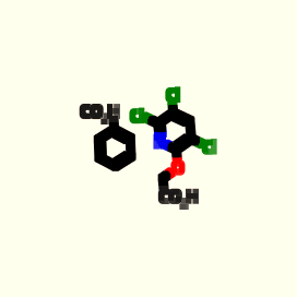 O=C(O)COc1nc(Cl)c(Cl)cc1Cl.O=C(O)c1ccccc1